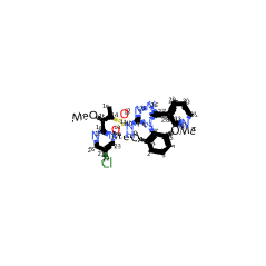 COc1cccc(OC)c1-n1c(NS(=O)(=O)C(C)C(OC)c2ncc(Cl)cn2)nnc1-c1cccnc1